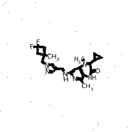 Cc1nc(NCc2cnn(CC3(C)CC(F)(F)C3)c2)cc2c1NC(=O)C(C1CC1)N2C